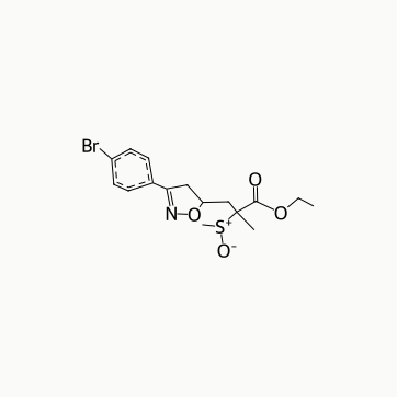 CCOC(=O)C(C)(CC1CC(c2ccc(Br)cc2)=NO1)[S+](C)[O-]